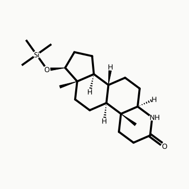 C[C@]12CCC(=O)N[C@@H]1CC[C@@H]1[C@@H]2CC[C@]2(C)[C@@H](O[Si](C)(C)C)CC[C@@H]12